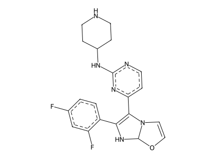 Fc1ccc(C2=C(c3ccnc(NC4CCNCC4)n3)N3C=COC3N2)c(F)c1